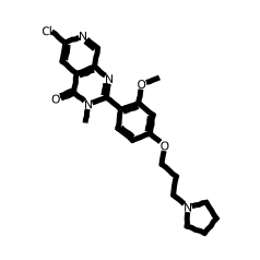 COc1cc(OCCCN2CCCC2)ccc1-c1nc2cnc(Cl)cc2c(=O)n1C